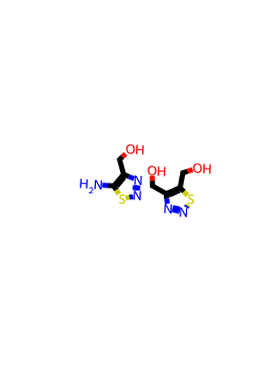 Nc1snnc1CO.OCc1nnsc1CO